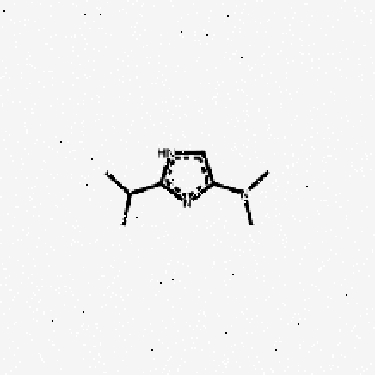 CC(C)c1nc(N(C)C)c[nH]1